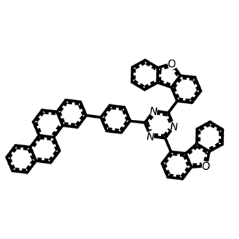 c1ccc2c(c1)ccc1c3cc(-c4ccc(-c5nc(-c6cccc7oc8ccccc8c67)nc(-c6cccc7oc8ccccc8c67)n5)cc4)ccc3ccc21